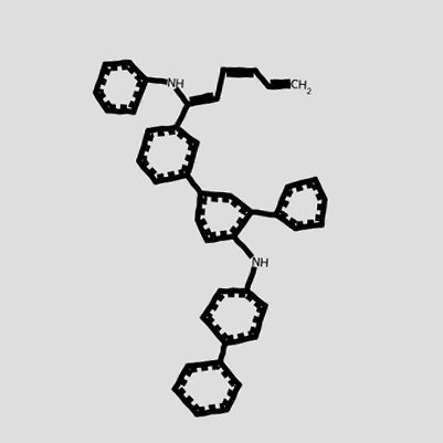 C=C/C=C\C=C(/Nc1ccccc1)c1cccc(-c2ccc(Nc3ccc(-c4ccccc4)cc3)c(-c3ccccc3)c2)c1